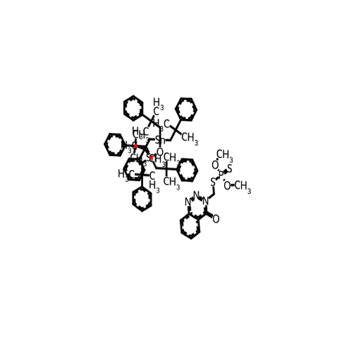 CC(C)([CH2][Sn]([CH2]C(C)(C)c1ccccc1)([CH2]C(C)(C)c1ccccc1)[O][Sn]([CH2]C(C)(C)c1ccccc1)([CH2]C(C)(C)c1ccccc1)[CH2]C(C)(C)c1ccccc1)c1ccccc1.COP(=S)(OC)SCn1nnc2ccccc2c1=O